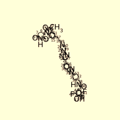 Cn1c(=O)n(C2CCC(=O)NC2=O)c2ccc(CCCN3CCN(c4ncc(-c5ccc6cn([C@H]7CC[C@H](CNC(=O)c8cc(F)c(O)c(F)c8F)CC7)nc6c5)cn4)CC3)cc21